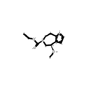 CCOC(=O)N1CCc2sccc2[C@@H](OC)C1